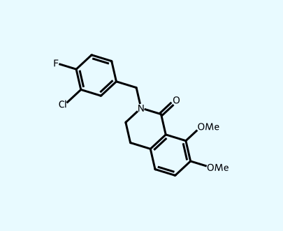 COc1ccc2c(c1OC)C(=O)N(Cc1ccc(F)c(Cl)c1)CC2